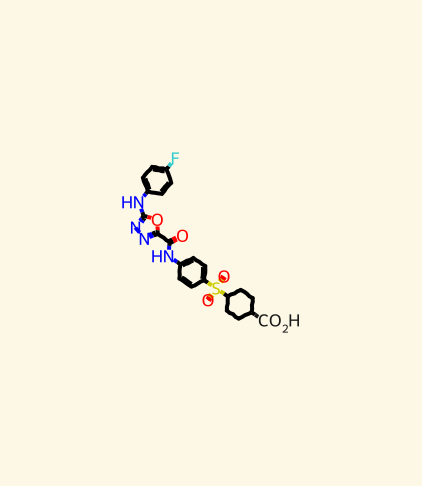 O=C(Nc1ccc(S(=O)(=O)C2CCC(C(=O)O)CC2)cc1)c1nnc(Nc2ccc(F)cc2)o1